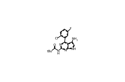 CC(C)(C)C(=O)Nc1nc(-c2cc(F)ccc2Cl)c2c(N)c[nH]c2n1